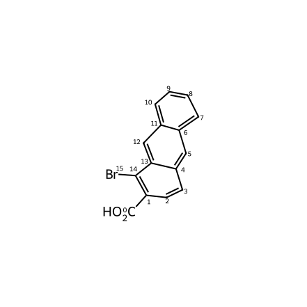 O=C(O)c1ccc2cc3ccccc3cc2c1Br